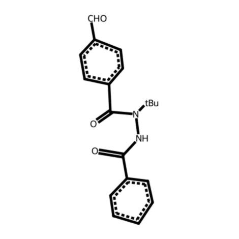 CC(C)(C)N(NC(=O)c1ccccc1)C(=O)c1ccc(C=O)cc1